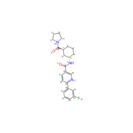 O=C(N[C@H]1CCC[C@H](C(=O)N2CCCC2)C1)c1ccc(-c2cccc(F)c2)nc1